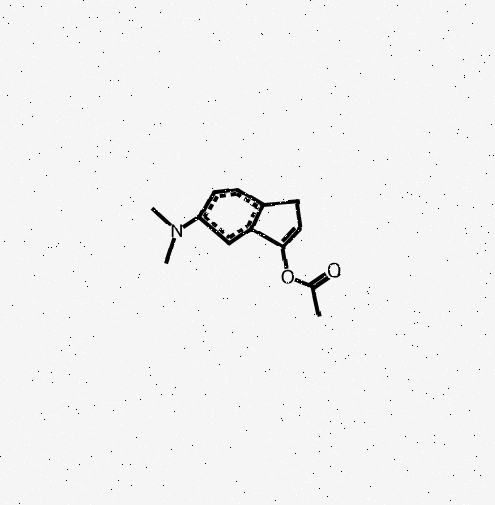 CC(=O)OC1=CCc2ccc(N(C)C)cc21